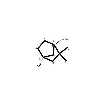 CC1(C)[CH][C@@]2(C)CC[C@@H]1C2